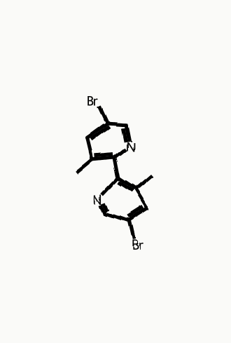 Cc1cc(Br)cnc1-c1ncc(Br)cc1C